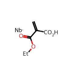 C=C(C(=O)O)C(=O)OCC.[Nb]